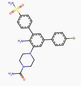 NC(=O)N1CCN(c2cc(-c3ccc(Br)cc3)cc(-c3ccc(S(N)(=O)=O)cc3)c2N)CC1